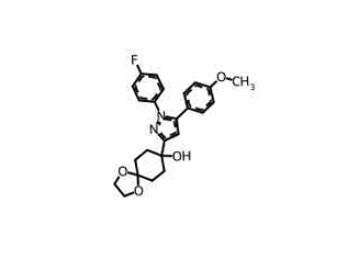 COc1ccc(-c2cc(C3(O)CCC4(CC3)OCCO4)nn2-c2ccc(F)cc2)cc1